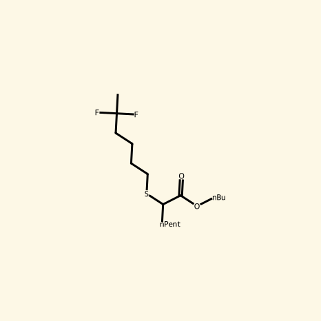 CCCCCC(SCCCCC(C)(F)F)C(=O)OCCCC